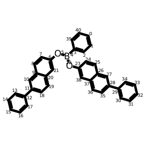 c1ccc(B(Oc2ccc3cc(-c4ccccc4)ccc3c2)Oc2ccc3cc(-c4ccccc4)ccc3c2)cc1